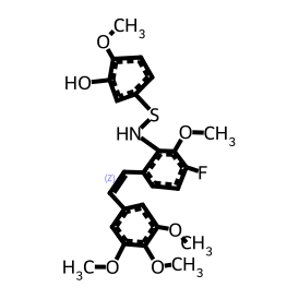 COc1ccc(SNc2c(/C=C\c3cc(OC)c(OC)c(OC)c3)ccc(F)c2OC)cc1O